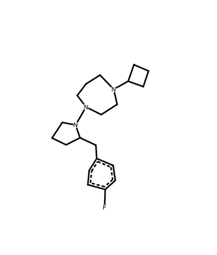 Fc1ccc(C[C]2CCCN2N2CCCN(C3CCC3)CC2)cc1